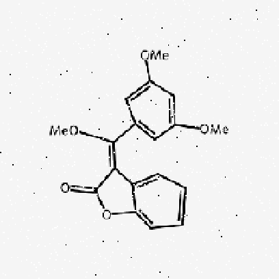 COC(=C1C(=O)Oc2ccccc21)c1cc(OC)cc(OC)c1